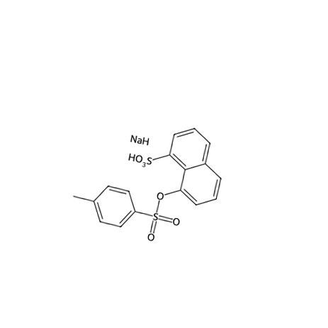 Cc1ccc(S(=O)(=O)Oc2cccc3cccc(S(=O)(=O)O)c23)cc1.[NaH]